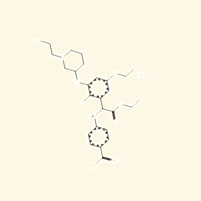 CCOC(=O)C(Nc1ccc(C(=N)N)cc1)c1cc(OCC)cc(OC2CCCN(CCO)C2)c1F.Cl